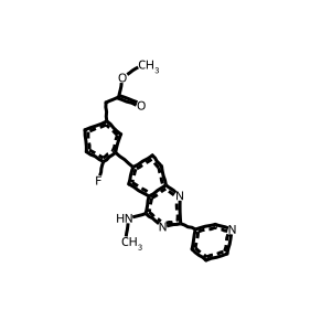 CNc1nc(-c2cccnc2)nc2ccc(-c3cc(CC(=O)OC)ccc3F)cc12